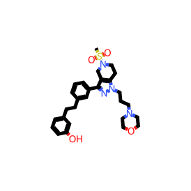 CS(=O)(=O)N1CCc2c(c(-c3cccc(CCc4cccc(O)c4)c3)nn2CCCN2CCOCC2)C1